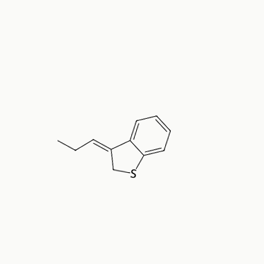 CCC=C1CSc2ccccc21